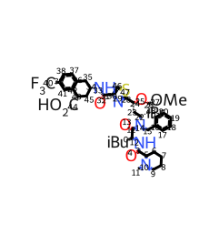 CCC(C)C(NC(=O)C1CCCCN1C)C(=O)N(Cc1ccccc1)[C@H](C[C@@H](OCOC)c1nc(C(=O)N[C@H]2Cc3ccc(C(F)(F)F)cc3[C@H](C(=O)O)C2)cs1)C(C)C